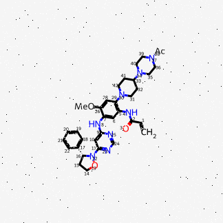 C=CC(=O)Nc1cc(Nc2cc(N3OCC[C@@H]3c3ccccc3)ncn2)c(OC)cc1N1CCC(N2CCN(C(C)=O)CC2)CC1